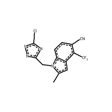 Cc1cc2c(C(F)(F)F)c(C#N)ccc2n1Cc1nsc(Cl)n1